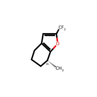 C[C@@H]1CCCc2cc(C(F)(F)F)oc21